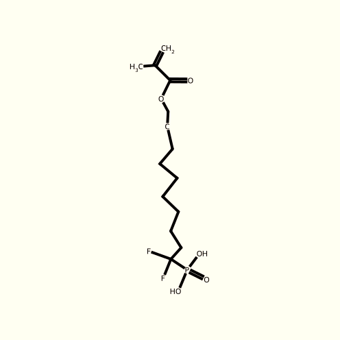 C=C(C)C(=O)OCCCCCCCCCC(F)(F)P(=O)(O)O